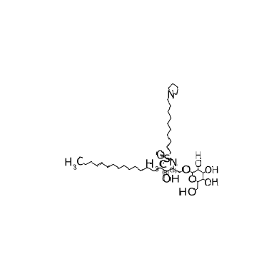 CCCCCCCCCCCCCCC[C@@H](O)[C@H](COC1OC(CO)C(O)C(O)C1O)N=S(C)(=O)CCCCCCCCCCN1CCCC1